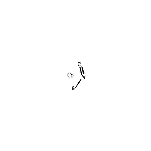 O=NBr.[Co]